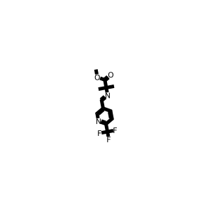 COC(=O)C(C)(C)N=Cc1ccc(C(F)(F)F)nc1